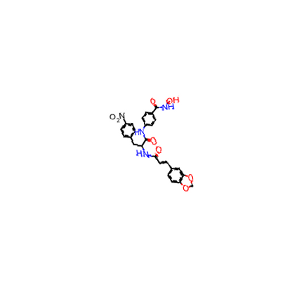 O=C(/C=C/c1ccc2c(c1)OCO2)NC(Cc1ccc([N+](=O)[O-])cc1)C(=O)Nc1ccc(C(=O)NO)cc1